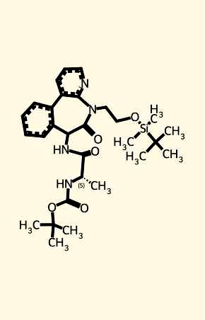 C[C@H](NC(=O)OC(C)(C)C)C(=O)NC1C(=O)N(CCO[Si](C)(C)C(C)(C)C)c2ncccc2-c2ccccc21